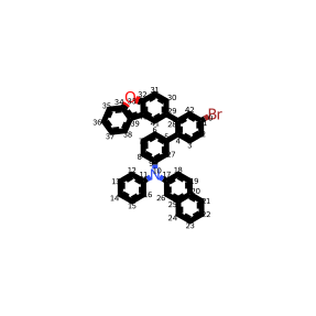 Brc1ccc(-c2cccc(N(c3ccccc3)c3ccc4ccccc4c3)c2)c(-c2ccc3oc4ccccc4c3c2)c1